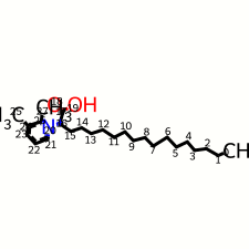 CCCCCCCCCCCCCCCCC(C(=O)O)[n+]1cccc(C)c1C